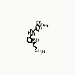 CC(C)Oc1ncc(-c2nc(-c3cccc4c(CCC(=O)O)c[nH]c34)no2)cc1C(F)(F)F